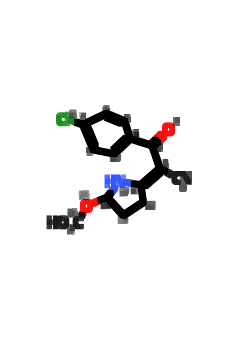 N#CC(C(=O)c1ccc(Cl)cc1)=C1CCC(OC(=O)O)N1